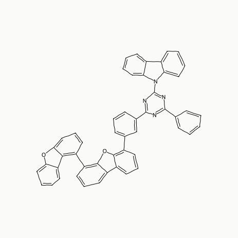 c1ccc(-c2nc(-c3cccc(-c4cccc5c4oc4c(-c6cccc7oc8ccccc8c67)cccc45)c3)nc(-n3c4ccccc4c4ccccc43)n2)cc1